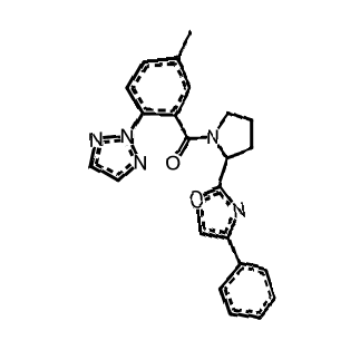 Cc1ccc(-n2nccn2)c(C(=O)N2CCCC2c2nc(-c3ccccc3)co2)c1